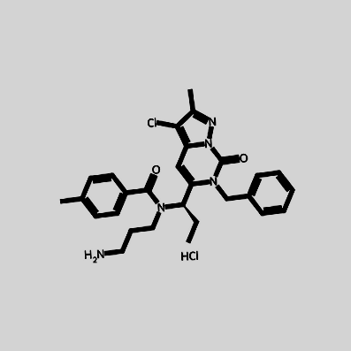 CC[C@H](c1cc2c(Cl)c(C)nn2c(=O)n1Cc1ccccc1)N(CCCN)C(=O)c1ccc(C)cc1.Cl